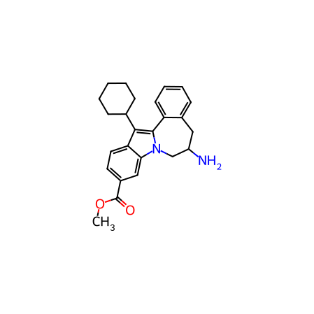 COC(=O)c1ccc2c(C3CCCCC3)c3n(c2c1)CC(N)Cc1ccccc1-3